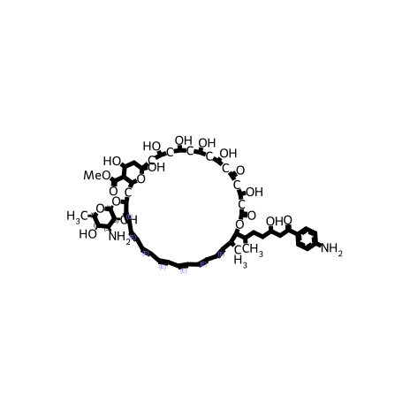 COC(=O)C1C(O)CC2(O)CC(O)CC(O)CC(O)CC(O)CC(=O)CC(O)CC(=O)OC(C(C)CCC(O)CC(=O)c3ccc(N)cc3)C(C)/C=C/C=C/C=C/C=C/C=C/C=C/C=C/C(O[C@@H]3O[C@H](C)[C@@H](O)[C@H](N)[C@@H]3O)CC1O2